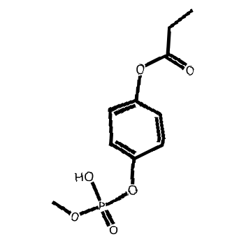 CCC(=O)Oc1ccc(OP(=O)(O)OC)cc1